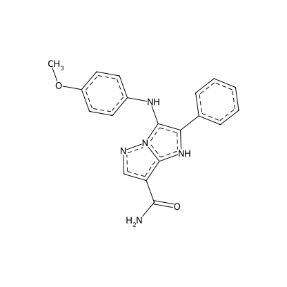 COc1ccc(Nc2c(-c3ccccc3)[nH]c3c(C(N)=O)cnn23)cc1